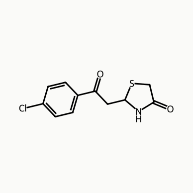 O=C1CSC(CC(=O)c2ccc(Cl)cc2)N1